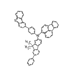 CC1(C)c2cc(-c3ccccc3)ccc2-c2ccc(N(c3ccc(-c4ccc5sc6ccccc6c5c4)cc3)c3ccc4c5c(cccc35)-c3ccccc3-4)cc21